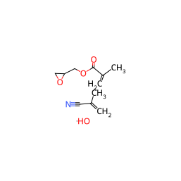 C=C(C)C#N.C=C(C)C(=O)OCC1CO1.[OH]